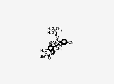 COc1cc(C)c2c(ccn2C(=O)OC(C)(C)C)c1C(C)(C)c1nc2cc(C#N)ccc2n1COCC[Si](C)(C)C